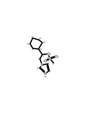 CS(=O)(=O)OC(Cn1ccnc1)C1CCCCC1